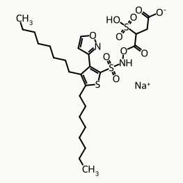 CCCCCCCCc1sc(S(=O)(=O)NOC(=O)C(CC(=O)[O-])S(=O)(=O)O)c(-c2ccon2)c1CCCCCCCC.[Na+]